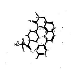 Cc1ncc(-c2ccc3ncc4c(c3n2)N(C2CCN(C(=O)C(C)(C)O)CC2)C(=O)N(C)C4)cn1